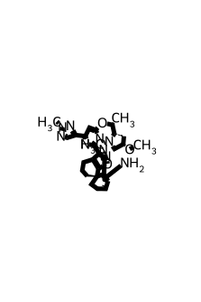 CO[C@@H]1C[C@@H]([C@H](C)Oc2cc(-c3cnn(C)n3)nc(-c3noc4c3CCC[C@@]43CCCc4sc(N)c(C#N)c43)n2)N(C)C1